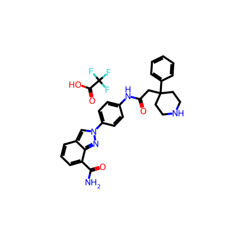 NC(=O)c1cccc2cn(-c3ccc(NC(=O)CC4(c5ccccc5)CCNCC4)cc3)nc12.O=C(O)C(F)(F)F